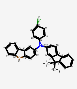 CC1(C)c2ccccc2-c2ccc(N(c3ccc(Br)cc3)c3ccc4sc5ccccc5c4c3)cc21